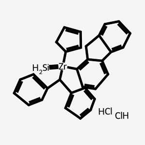 Cl.Cl.[SiH2]=[Zr]([C]1=CC=CC1)([c]1cccc2c1Cc1ccccc1-2)[CH](c1ccccc1)c1ccccc1